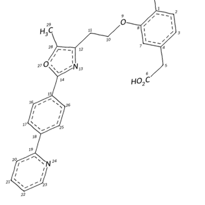 Cc1ccc(CC(=O)O)cc1OCCc1nc(-c2ccc(-c3ccccn3)cc2)oc1C